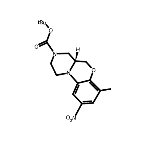 Cc1cc([N+](=O)[O-])cc2c1OC[C@H]1CN(C(=O)OC(C)(C)C)CCN21